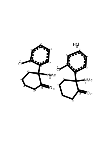 CNC1(c2ccccc2Cl)CCCCC1=O.CNC1(c2ccccc2Cl)CCCCC1=O.Cl